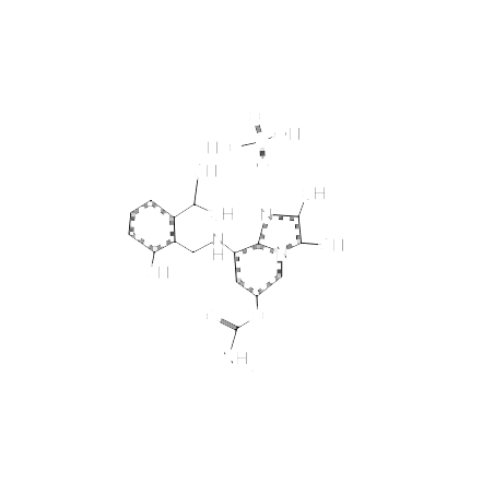 CS(=O)(=O)O.Cc1cccc(C(C)C)c1CNc1cc(OC(N)=O)cn2c(C)c(C)nc12